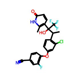 Cc1[nH]c(=O)ccc1C(O)(C(C)c1ccc(Oc2ccc(C#N)cc2F)cc1Cl)C(F)(F)F